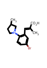 CC(=Cc1cc(Br)ccc1N1CCC(C)C1)C(=O)O